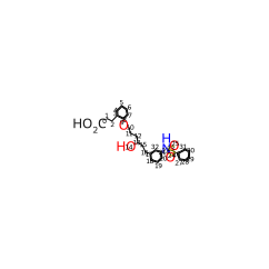 O=C(O)CCc1ccccc1OCCCC(O)CCc1cccc(NS(=O)(=O)c2ccccc2)c1